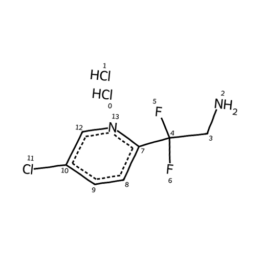 Cl.Cl.NCC(F)(F)c1ccc(Cl)cn1